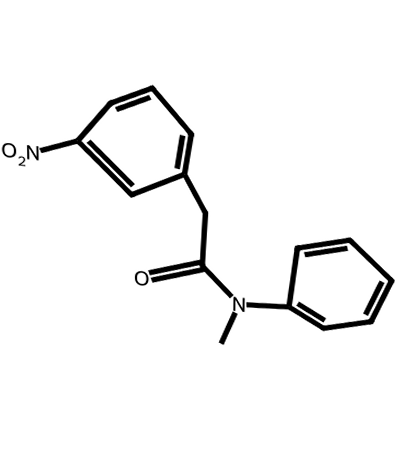 CN(C(=O)Cc1cccc([N+](=O)[O-])c1)c1ccccc1